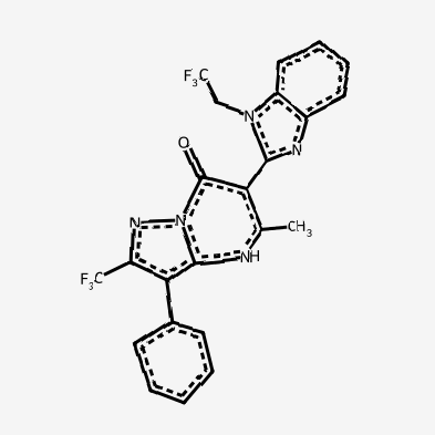 Cc1[nH]c2c(-c3ccccc3)c(C(F)(F)F)nn2c(=O)c1-c1nc2ccccc2n1CC(F)(F)F